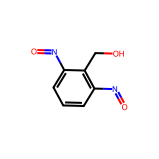 O=Nc1cccc(N=O)c1CO